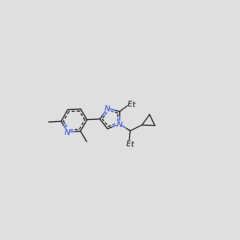 CCc1nc(-c2ccc(C)nc2C)cn1C(CC)C1CC1